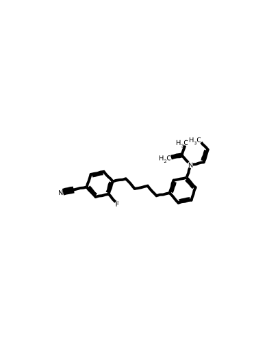 C=C(C)N(/C=C\C)c1cccc(CCCCc2ccc(C#N)cc2F)c1